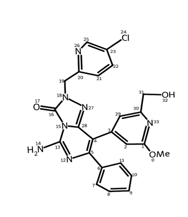 COc1cc(-c2c(-c3ccccc3)nc(N)n3c(=O)n(Cc4ccc(Cl)cn4)nc23)cc(CO)n1